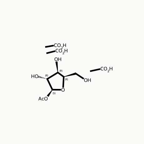 CC(=O)O.CC(=O)O.CC(=O)O.CC(=O)O[C@@H]1O[C@H](CO)[C@H](O)[C@H]1O